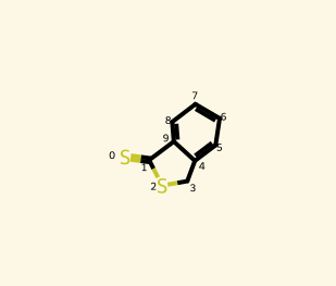 S=C1SCc2ccccc21